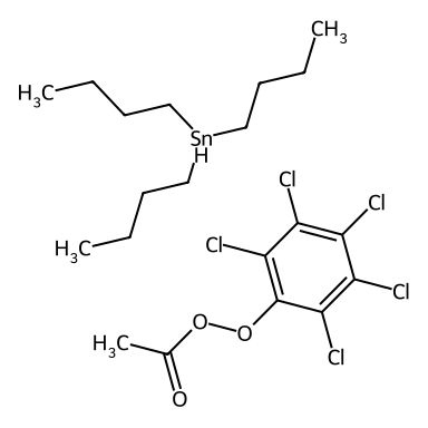 CC(=O)OOc1c(Cl)c(Cl)c(Cl)c(Cl)c1Cl.CCC[CH2][SnH]([CH2]CCC)[CH2]CCC